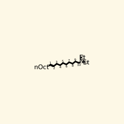 CCCCCCCCC=CCCCCCCCCN(CC)CC